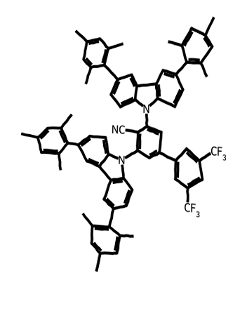 Cc1cc(C)c(-c2ccc3c(c2)c2cc(-c4c(C)cc(C)cc4C)ccc2n3-c2cc(-c3cc(C(F)(F)F)cc(C(F)(F)F)c3)cc(-n3c4ccc(-c5c(C)cc(C)cc5C)cc4c4cc(-c5c(C)cc(C)cc5C)ccc43)c2C#N)c(C)c1